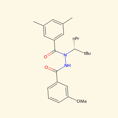 CCC[C@@H](N(NC(=O)c1cccc(OC)c1)C(=O)c1cc(C)cc(C)c1)C(C)(C)C